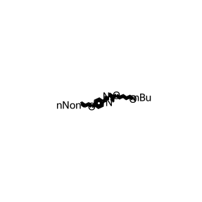 CCCCCCCCCC=CCOc1ccc(-c2ncc(OCCCCOCCCC)cn2)cc1